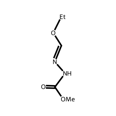 CCO/C=N/NC(=O)OC